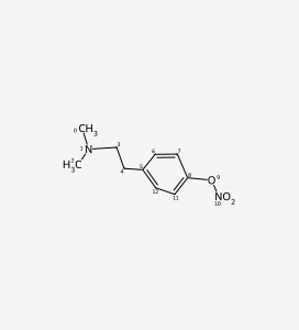 CN(C)CCc1ccc(O[N+](=O)[O-])cc1